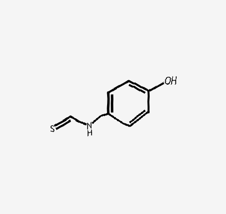 Oc1ccc(NC=S)cc1